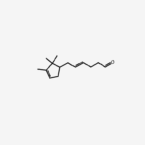 CC1=CCC(CC=CCCC=O)C1(C)C